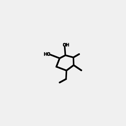 CCC1CC(O)C(O)C(C)C1C